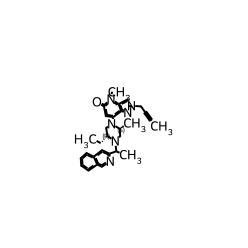 CC#CCn1cc2c(n1)c(N1C[C@@H](CC)N(C(C)c3cc4ccccc4cn3)C[C@@H]1C)cc(=O)n2C